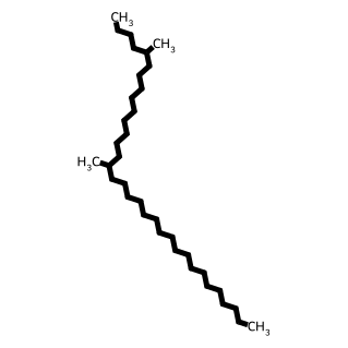 CCCCCCCCCCCCCCCCCCC(C)CCCCCCCCCC(C)CCCC